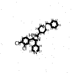 Clc1ccc(-c2[nH]c(C3CCN(Cc4ccccc4)CC3)nc2-c2ccncc2)cc1Cl